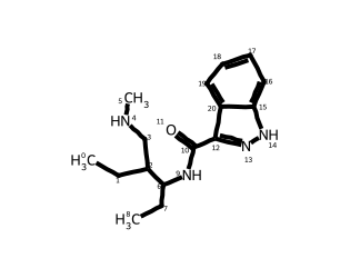 CCC(CNC)C(CC)NC(=O)c1n[nH]c2ccccc12